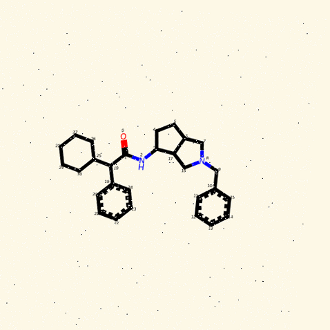 O=C(NC1CCC2CN(Cc3ccccc3)CC21)C(c1ccccc1)C1CCCCC1